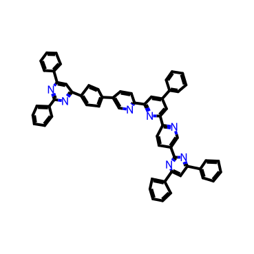 c1ccc(-c2cc(-c3ccc(-c4ccc(-c5cc(-c6ccccc6)nc(-c6ccccc6)n5)cc4)cn3)nc(-c3ccc(-c4nc(-c5ccccc5)cc(-c5ccccc5)n4)cn3)c2)cc1